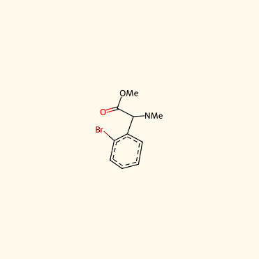 CNC(C(=O)OC)c1ccccc1Br